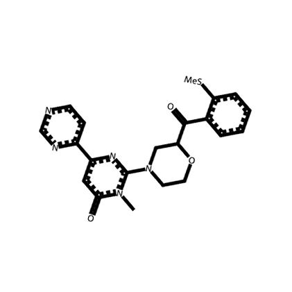 CSc1ccccc1C(=O)C1CN(c2nc(-c3ccncn3)cc(=O)n2C)CCO1